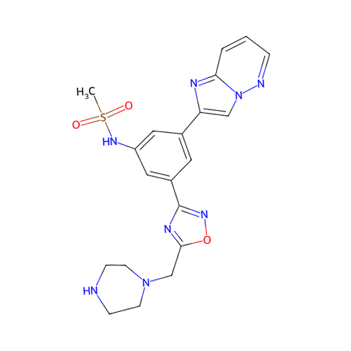 CS(=O)(=O)Nc1cc(-c2cn3ncccc3n2)cc(-c2noc(CN3CCNCC3)n2)c1